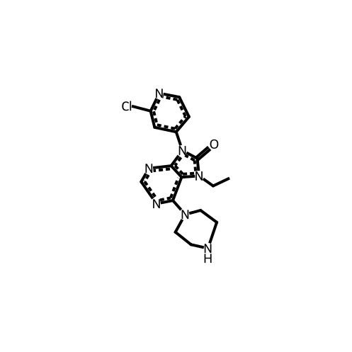 CCn1c(=O)n(-c2ccnc(Cl)c2)c2ncnc(N3CCNCC3)c21